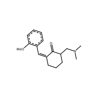 COc1ccccc1C=C1CCCC(CN(C)C)C1=O